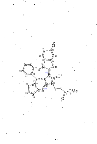 COC(=O)CCn1c(=O)/c(=C2\Sc3cc(Cl)ccc3N2C)s/c1=C\c1scc[n+]1Cc1ccccc1